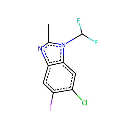 Cc1nc2cc(I)c(Cl)cc2n1C(F)F